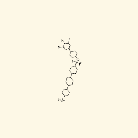 CC1CCC(C2CCC(C3CCC(C(F)(F)OC4CCC(c5cc(F)c(F)c(F)c5)CC4)CC3)CC2)CC1